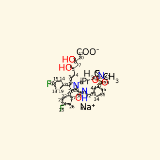 CC(C)n1c(C=C[C@@H](O)C[C@@H](O)CC(=O)[O-])c(-c2ccc(F)cc2)c(-c2ccc(F)cc2)c1C(=O)NCc1cccc(S(=O)(=O)N(C)C)c1.[Na+]